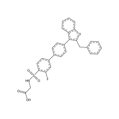 O=C(O)CNS(=O)(=O)c1ccc(-c2ccc(-c3c(Cc4ccccc4)oc4ccccc34)cc2)cc1F